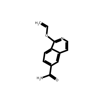 C=COc1nccc2cc(C(N)=O)ccc12